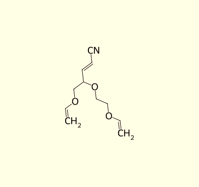 C=COCCOC(C=CC#N)COC=C